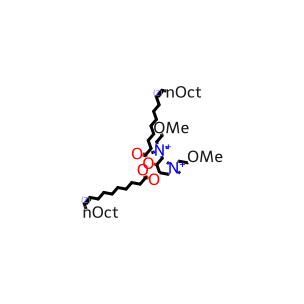 CCCCCCCC/C=C\CCCCCCCC(=O)OC(C[N+](C)(C)CCOC)C(C[N+](C)(C)CCOC)OC(=O)CCCCCCC/C=C\CCCCCCCC